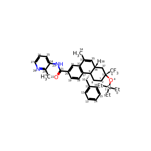 CC[Si](CC)(CC)O[C@]1(C(F)(F)F)CC[C@@]2(Cc3ccccc3)c3ccc(C(=O)Nc4cccnc4C)cc3C(C)=C[C@@H]2C1